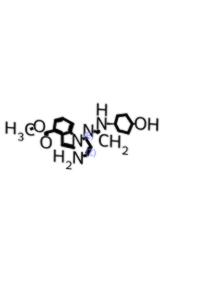 C=C(/N=C(\C=C/N)n1ccc2c(C(=O)OC)cccc21)N[C@H]1CC[C@H](O)CC1